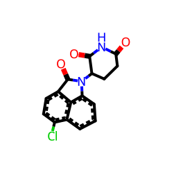 O=C1CCC(N2C(=O)c3ccc(Cl)c4cccc2c34)C(=O)N1